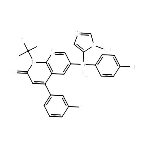 Cn1cncc1[Si@@](O)(c1ccc(Cl)cc1)c1cnc2c(c1)c(-c1cccc(Cl)c1)cc(=O)n2C(F)(F)F